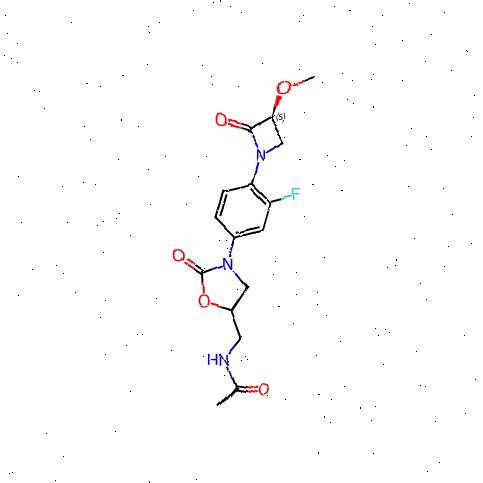 CO[C@H]1CN(c2ccc(N3CC(CNC(C)=O)OC3=O)cc2F)C1=O